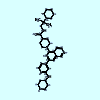 CC(C)(CNC(=O)C1CCN(c2nc(-c3ccnc(NC4CCOCC4)c3)cc3cnccc23)CC1)N1CCCCC1